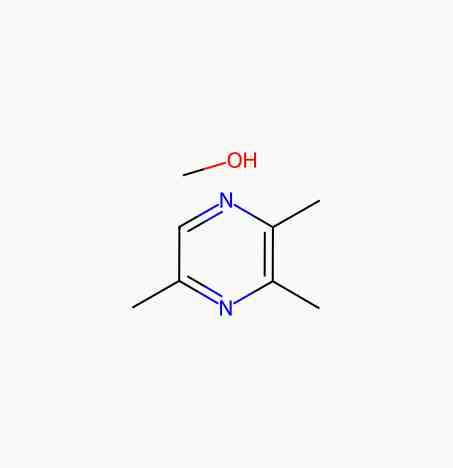 CO.Cc1cnc(C)c(C)n1